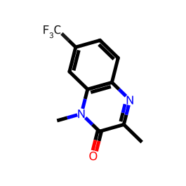 Cc1nc2ccc(C(F)(F)F)cc2n(C)c1=O